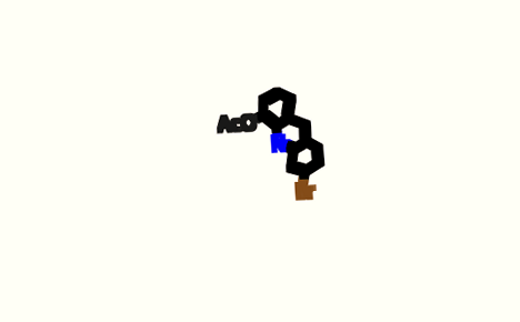 CC(=O)Oc1cccc2cc3ccc(Br)cc3nc12